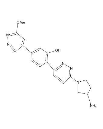 COc1cc(-c2ccc(-c3ccc(N4CCC(N)C4)nn3)c(O)c2)cnn1